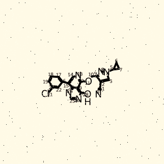 N#Cc1cn(C2CC2)nc1COc1ncc(-c2cccc(Cl)c2)c2ncnc(O)c12